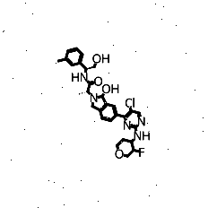 Cc1cccc([C@@H](CO)NC(=O)[C@@H](C)N2Cc3ccc(-c4nc(NC5CCOCC5F)ncc4Cl)cc3C2O)c1